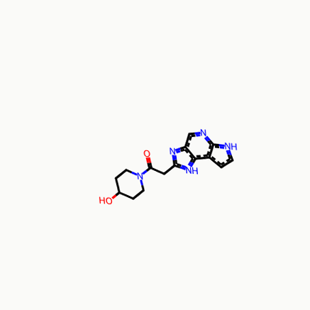 O=C(Cc1nc2cnc3[nH]ccc3c2[nH]1)N1CCC(O)CC1